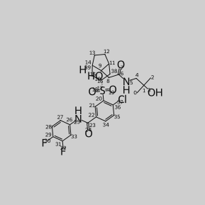 CC(C)(O)CNC(=O)C[C@]1(O)C2CC[C@@H]1C[C@@H](S(=O)(=O)c1cc(C(=O)Nc3ccc(F)c(F)c3)ccc1Cl)C2